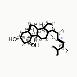 CC(C)[C@@H](C)/C=C/[C@@H](C)[C@H]1CC[C@H]2C3CC=C4C[C@@H](O)C[C@H](O)[C@]4(C)[C@H]3CC[C@]12C